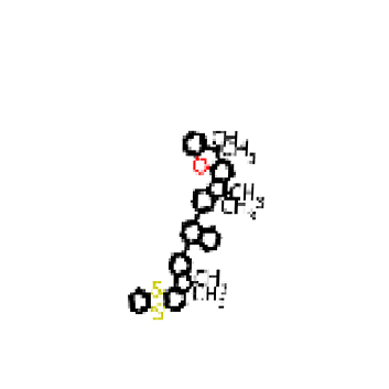 CC1(C)c2ccccc2Oc2c1ccc1c2-c2ccc(-c3ccc(-c4ccc5c(c4)C(C)(C)c4ccc6c(c4-5)Sc4ccccc4S6)c4ccccc34)cc2C1(C)C